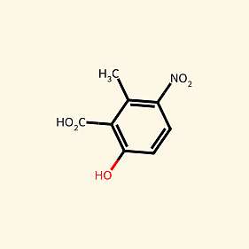 Cc1c([N+](=O)[O-])ccc(O)c1C(=O)O